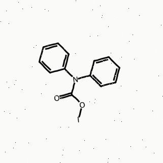 O=C(OI)N(c1ccccc1)c1ccccc1